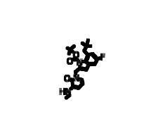 CCNc1cccn(Cc2cc3cc(F)cc(CC(C)(C)C)c3n2C(=O)OC(C)(C)C)c1=O